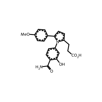 COc1ccc(-c2ccc(CCC(=O)O)n2-c2ccc(C(N)=O)c(O)c2)cc1